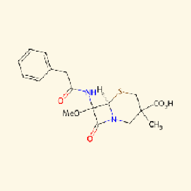 COC1(NC(=O)Cc2ccccc2)C(=O)N2CC(C)(C(=O)O)CS[C@@H]21